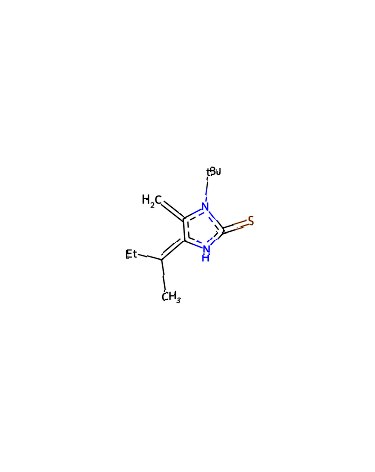 C=c1/c(=C(/C)CC)[nH]c(=S)n1C(C)(C)C